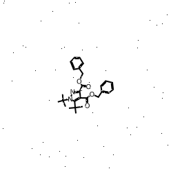 CC(C)(C)c1c(C(=O)OCc2ccccc2)c(C(=O)OCc2ccccc2)nn1C(C)(C)C